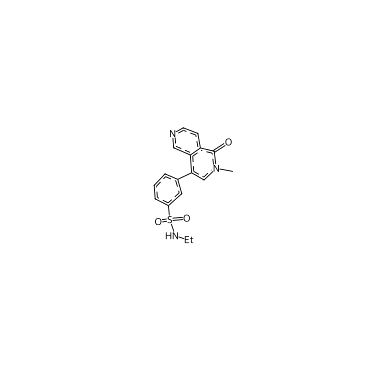 CCNS(=O)(=O)c1cccc(-c2cn(C)c(=O)c3ccncc23)c1